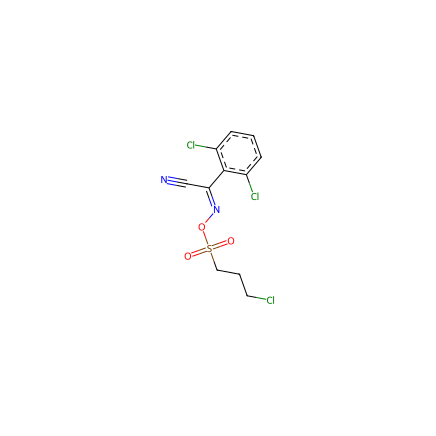 N#CC(=NOS(=O)(=O)CCCCl)c1c(Cl)cccc1Cl